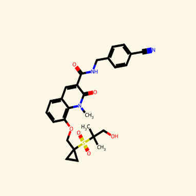 Cn1c(=O)c(C(=O)NCc2ccc(C#N)cc2)cc2cccc(OCC3(S(=O)(=O)C(C)(C)CO)CC3)c21